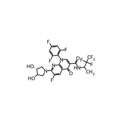 CC(NC(=O)c1cn(-c2c(F)cc(F)cc2F)c2nc(N3CC(O)[C@H](O)C3)c(F)cc2c1=O)C(F)(F)C(F)(F)F